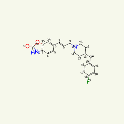 O=c1[nH]c2ccc(C=CCN3CCC(Cc4ccc(F)cc4)CC3)cc2o1